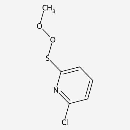 COOSc1cccc(Cl)n1